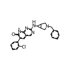 Cn1c(=O)c(-c2ccccc2Cl)cc2cnc(NC3C4CN(Cc5ccccc5)CC43)nc21